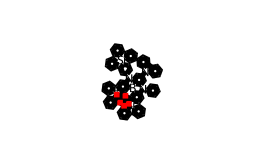 C1=CC([Si](c2ccccc2)(c2ccccc2)c2ccccc2)CC=C1N1c2ccc([Si](c3ccccc3)(c3ccccc3)c3ccccc3)cc2B2c3cc([Si](c4ccccc4)(c4ccccc4)c4ccccc4)ccc3N(c3ccccc3)c3cc(-n4c5ccccc5c5ccccc54)cc1c32